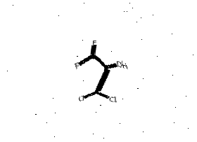 OC(=C(Cl)Cl)C(F)F